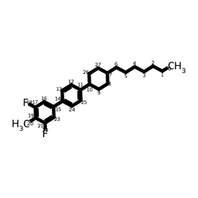 CCCCCCCC1CCC(c2ccc(-c3cc(F)c(C)c(F)c3)cc2)CC1